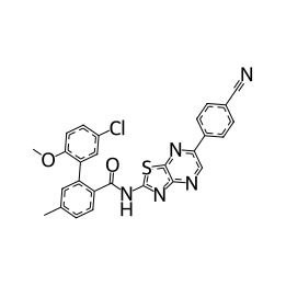 COc1ccc(Cl)cc1-c1cc(C)ccc1C(=O)Nc1nc2ncc(-c3ccc(C#N)cc3)nc2s1